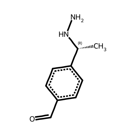 C[C@@H](NN)c1ccc(C=O)cc1